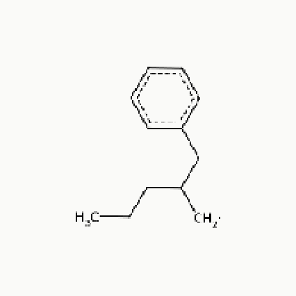 [CH2]C(CCC)Cc1ccccc1